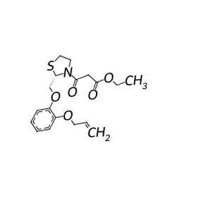 C=CCOc1ccccc1OC[C@@H]1SCCN1C(=O)CC(=O)OCC